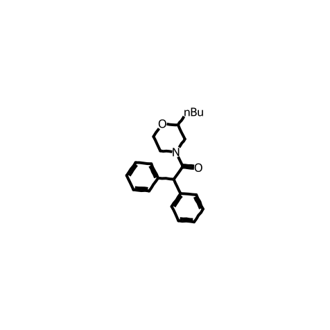 CCCCC1CN(C(=O)C(c2ccccc2)c2ccccc2)CCO1